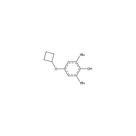 CC(C)(C)c1cc(OC2CCC2)cc(C(C)(C)C)c1O